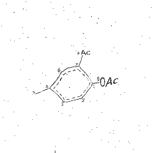 CC(=O)Oc1ccc(C)cc1C(C)=O